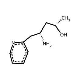 C[C@H](O)C[C@H](N)Cc1ccccn1